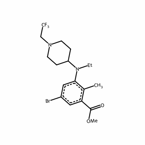 CCN(c1cc(Br)cc(C(=O)OC)c1C)C1CCN(CC(F)(F)F)CC1